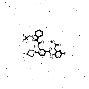 CC1CCN(c2ccc(C(=O)Nc3ccc(F)cc3CC(=O)O)cc2NC(=O)c2nn(CC(F)(F)F)c3ccccc23)CC1